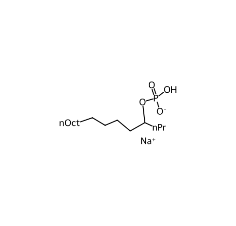 CCCCCCCCCCCCC(CCC)OP(=O)([O-])O.[Na+]